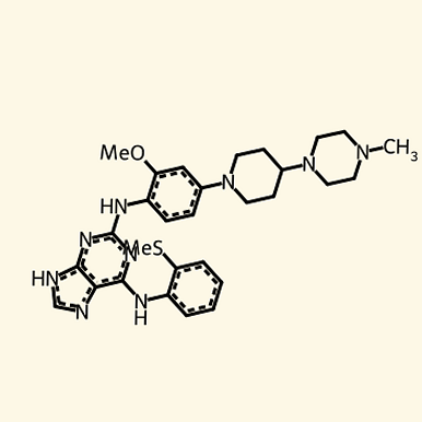 COc1cc(N2CCC(N3CCN(C)CC3)CC2)ccc1Nc1nc(Nc2ccccc2SC)c2nc[nH]c2n1